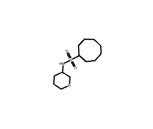 O=S(=O)(NC1CCC[N]C1)C1CCCCCCC1